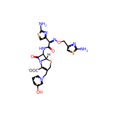 Nc1nc(CO/N=C(\C(=O)NC2C(=O)N3C(C(=O)[O-])=C(C[n+]4cccc(O)c4)CS[C@@H]23)c2csc(N)n2)cs1